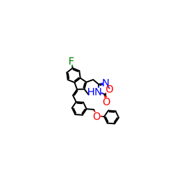 CC1=C(Cc2noc(=O)[nH]2)c2cc(F)ccc2C1=Cc1cccc(COc2ccccc2)c1